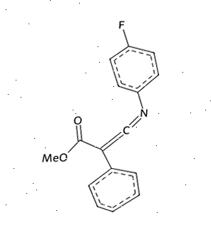 COC(=O)C(=C=Nc1ccc(F)cc1)c1ccccc1